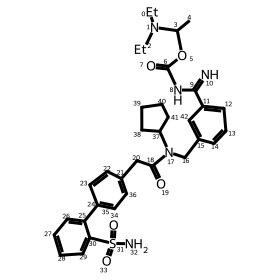 CCN(CC)C(C)OC(=O)NC(=N)c1cccc(CN(C(=O)Cc2ccc(-c3ccccc3S(N)(=O)=O)cc2)C2CCCC2)c1